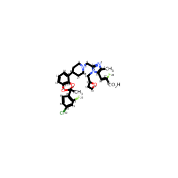 Cc1nc(CN2CCC(c3cccc4c3OC(C)(c3ccc(Cl)cc3F)O4)CC2)n(CC2CCO2)c1/C=C(\F)C(=O)O